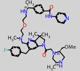 COC[C@H]1CN[C@H](C)CN1CC(=O)N1CC(C)(C)c2nc(CN(C)CCOCCN[C@H](C)c3ccc(C(=O)Nc4ccncc4)cc3)c(Cc3ccc(F)cc3)cc21